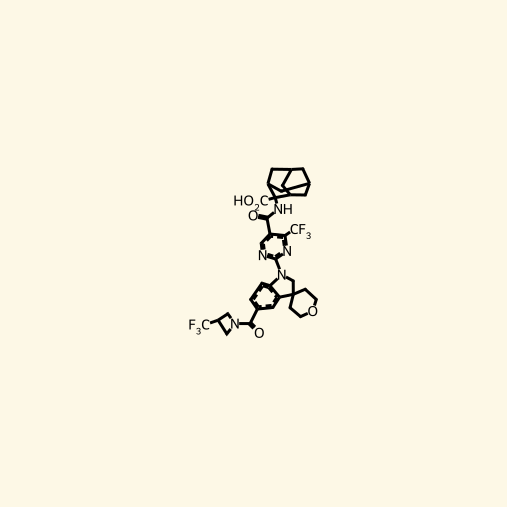 O=C(NC1(C(=O)O)C2CC3CC(C2)CC1C3)c1cnc(N2CC3(CCOCC3)c3cc(C(=O)N4CC(C(F)(F)F)C4)ccc32)nc1C(F)(F)F